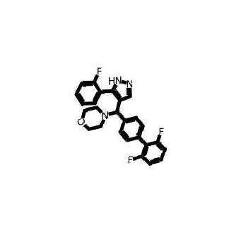 Fc1ccccc1-c1[nH]ncc1C(c1ccc(-c2c(F)cccc2F)cc1)N1CCOCC1